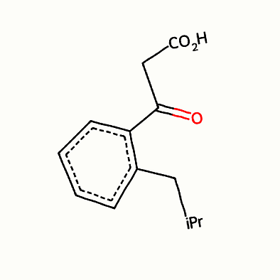 CC(C)Cc1ccccc1C(=O)CC(=O)O